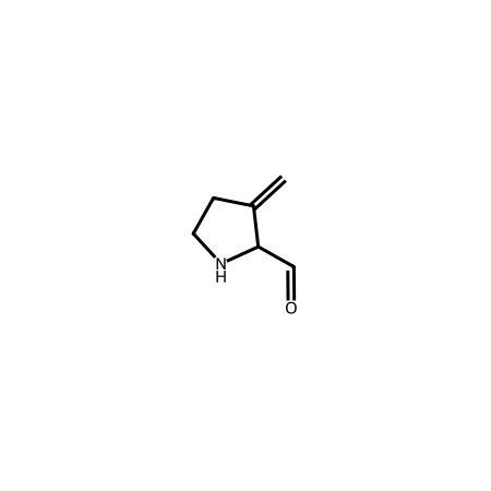 C=C1CCNC1C=O